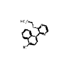 N#Cc1ccc(-c2nccnc2SCC(=O)O)c2ccccc12